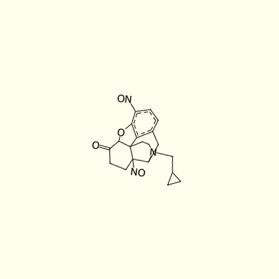 O=Nc1ccc2c3c1OC1C(=O)CCC4(N=O)C(C2)N(CC2CC2)CCC314